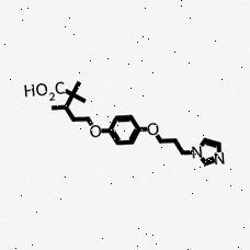 CC(CCOc1ccc(OCCCn2ccnc2)cc1)C(C)(C)C(=O)O